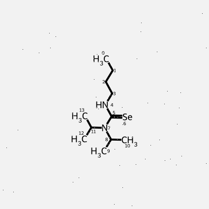 CCCCNC(=[Se])N(C(C)C)C(C)C